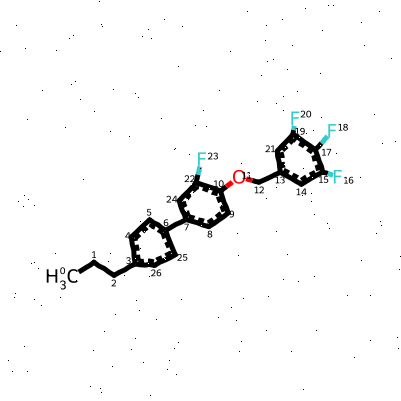 CCCc1ccc(-c2ccc(OCc3cc(F)c(F)c(F)c3)c(F)c2)cc1